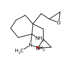 CN(N)C1(N)CCCCC1(CC1CO1)CC1CO1